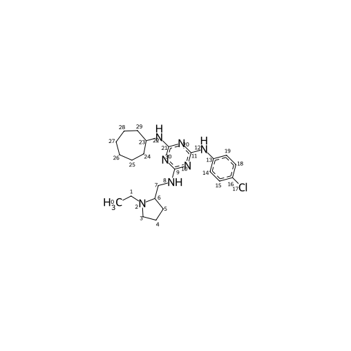 CCN1CCCC1CNc1nc(Nc2ccc(Cl)cc2)nc(NC2CCCCCC2)n1